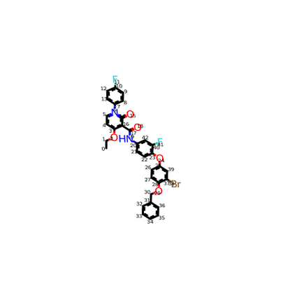 CCOc1ccn(-c2ccc(F)cc2)c(=O)c1C(=O)Nc1ccc(Oc2ccc(OCc3ccccc3)c(Br)c2)c(F)c1